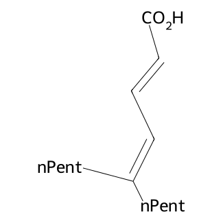 CCCCCC(=C/C=C/C(=O)O)CCCCC